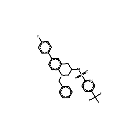 O=S(=O)(NC1Cc2cc(-c3ccc(F)cc3)ccc2N(Cc2ccccc2)C1)c1ccc(C(F)(F)F)cn1